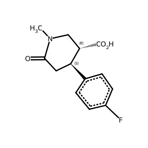 CN1C[C@H](C(=O)O)[C@@H](c2ccc(F)cc2)CC1=O